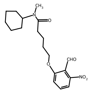 CN(C(=O)CCCCOc1cccc([N+](=O)[O-])c1C=O)C1CCCCC1